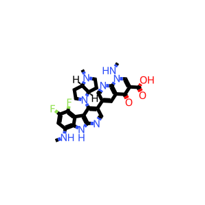 CNc1cc(F)c(F)c2c1[nH]c1ncc(-c3cnc4c(c3)c(=O)c(C(=O)O)cn4NC)c(N3CC[C@@H]4[C@H]3CCN4C)c12